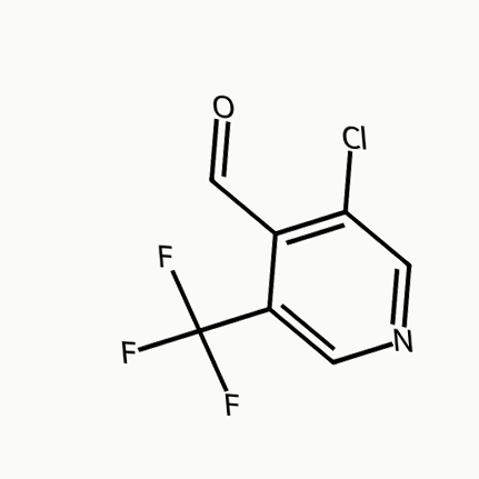 O=Cc1c(Cl)cncc1C(F)(F)F